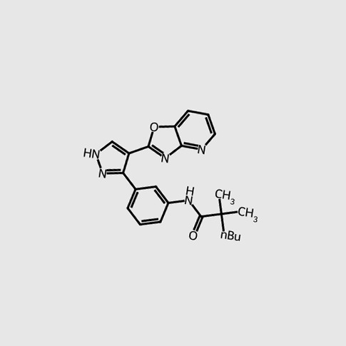 CCCCC(C)(C)C(=O)Nc1cccc(-c2n[nH]cc2-c2nc3ncccc3o2)c1